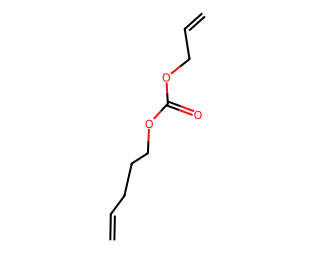 C=CCCCOC(=O)OCC=C